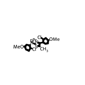 CCCN(c1nc(-c2ccc(OC)cc2Cl)c(C)s1)c1cc(OC)ccc1Cl